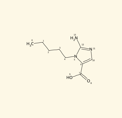 CCCCCn1c(C(=O)O)cnc1N